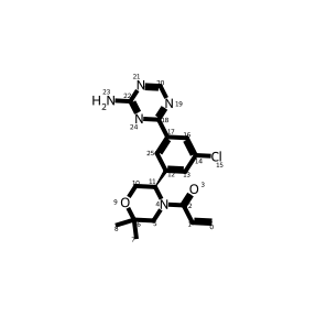 C=CC(=O)N1CC(C)(C)OC[C@H]1c1cc(Cl)cc(-c2ncnc(N)n2)c1